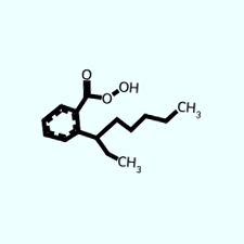 CCCCCC(CC)c1ccccc1C(=O)OO